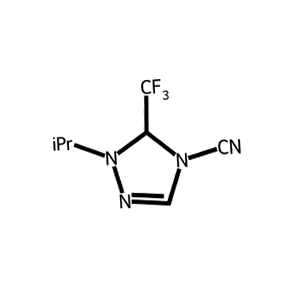 CC(C)N1N=CN(C#N)C1C(F)(F)F